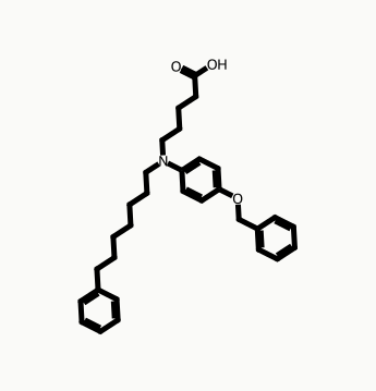 O=C(O)CCCCN(CCCCCCCc1ccccc1)c1ccc(OCc2ccccc2)cc1